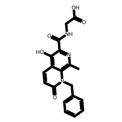 Cc1nc(C(=O)NCC(=O)O)c(O)c2ccc(=O)n(Cc3ccccc3)c12